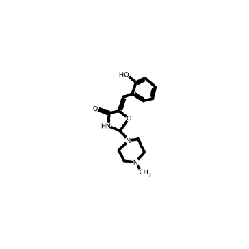 CN1CCN(C2NC(=O)/C(=C/c3ccccc3O)O2)CC1